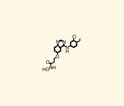 O=C(CCOc1ccc2ncnc(Nc3ccc(F)c(Cl)c3)c2c1)NO